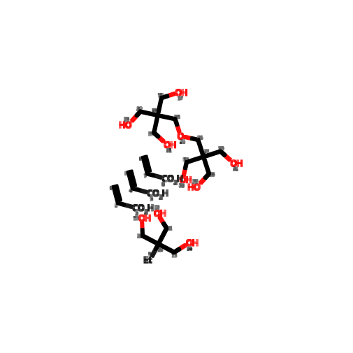 C=CC(=O)O.C=CC(=O)O.C=CC(=O)O.CCC(CO)(CO)CO.OCC(CO)(CO)COCC(CO)(CO)CO